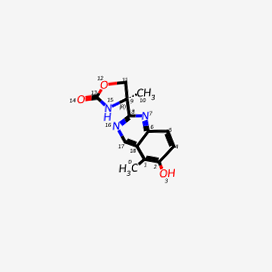 Cc1c(O)ccc2nc([C@]3(C)COC(=O)N3)ncc12